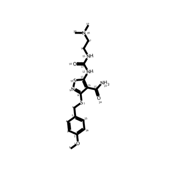 COc1ccc(CSc2nsc(NC(=O)NCCN(C)C)c2C(N)=O)cc1